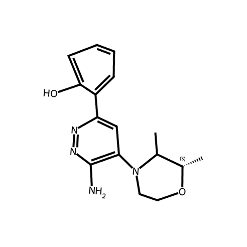 CC1[C@H](C)OCCN1c1cc(-c2ccccc2O)nnc1N